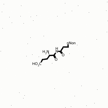 CCCCCCCCCCCC(=O)NC(=O)[C@@H](N)CCC(=O)O